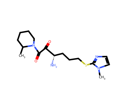 CC1CCCCN1C(=O)C(=O)[C@@H](N)CCCSc1nccn1C